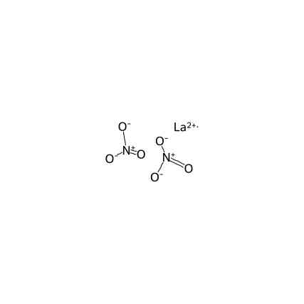 O=[N+]([O-])[O-].O=[N+]([O-])[O-].[La+2]